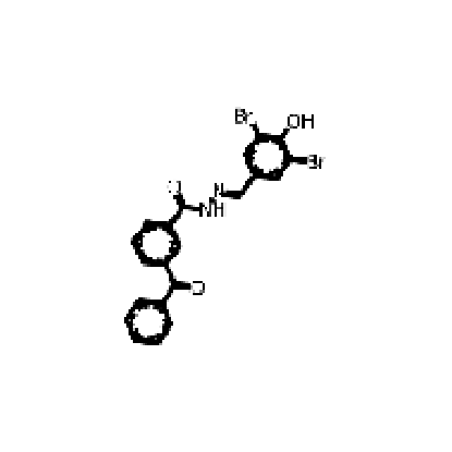 O=C(NN=Cc1cc(Br)c(O)c(Br)c1)c1cccc(C(=O)c2ccccc2)c1